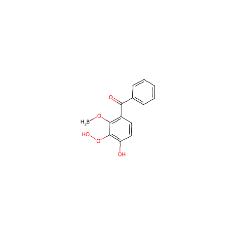 BOc1c(C(=O)c2ccccc2)ccc(O)c1OO